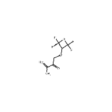 C=C(C)C(=O)COC1C(F)(F)OC1(F)F